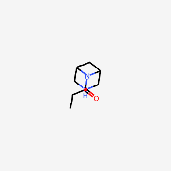 CCC(=O)N1C2CNCC1C2